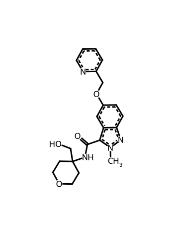 Cn1nc2ccc(OCc3ccccn3)cc2c1C(=O)NC1(CO)CCOCC1